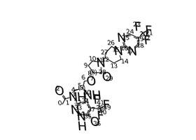 CC(=O)NC[C@@H](CO[C@@H]1CCN(C2CCN(c3ncc(C(F)(F)F)cn3)CC2)C1=O)Nc1cn[nH]c(=O)c1C(F)(F)F